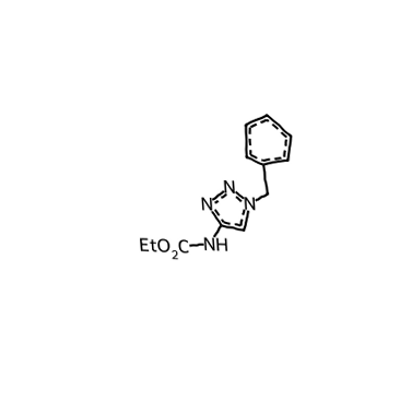 CCOC(=O)Nc1cn(Cc2ccccc2)nn1